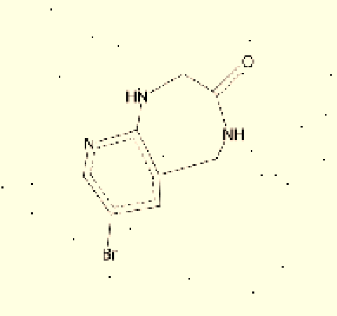 O=C1CNc2ncc(Br)cc2CN1